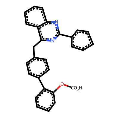 O=C(O)Oc1ccccc1-c1ccc(Cc2nc(-c3ccccc3)nc3ccccc23)cc1